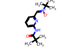 CC(C)(C)C(=O)Nc1cccc(/C=[N+](\[O-])C(C)(C)C)n1